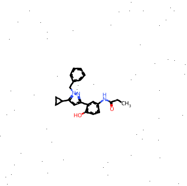 CCC(=O)Nc1ccc(O)c(-c2cc(C3CC3)n(Cc3ccccc3)n2)c1